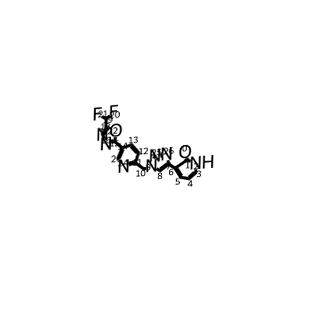 O=c1[nH]cccc1-c1cn(Cc2ccc(-c3nnc(C(F)F)o3)cn2)nn1